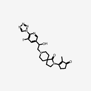 CC1=C(N2CCC3(CCN(CC(O)c4cnc(-n5cnnn5)c(F)c4)CC3)C2=O)CCC1=O